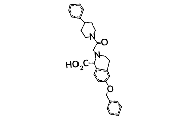 O=C(O)C1c2ccc(OCc3ccccc3)cc2CCN1CC(=O)N1CCC(c2ccccc2)CC1